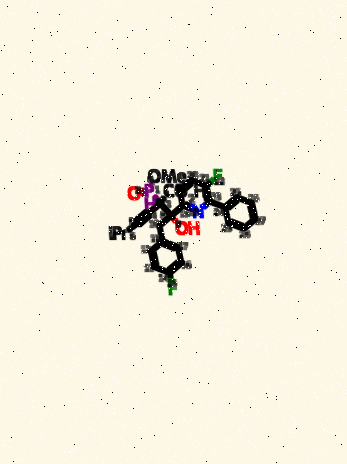 CO[PH](=O)C(C#CC(C)C)(C(=O)O)C(O)(Cc1ccc(F)cc1)c1ccc(F)c(-c2ccccc2)n1